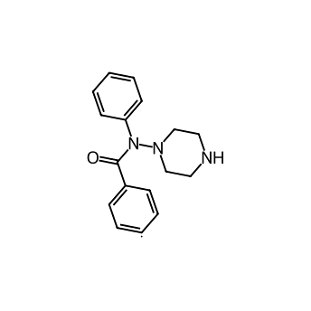 O=C(c1cc[c]cc1)N(c1ccccc1)N1CCNCC1